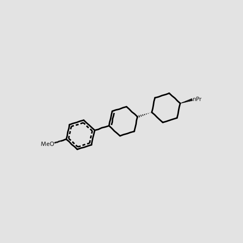 CCC[C@H]1CC[C@H](C2CC=C(c3ccc(OC)cc3)CC2)CC1